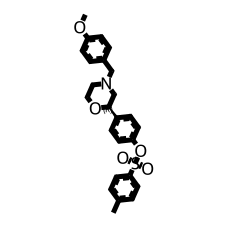 COc1ccc(CN2CCO[C@H](c3ccc(OS(=O)(=O)c4ccc(C)cc4)cc3)C2)cc1